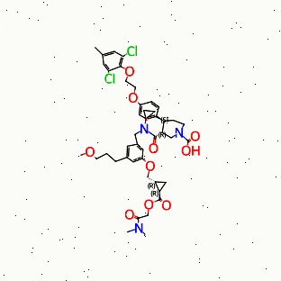 COCCCc1cc(CN(C(=O)[C@H]2CN(C(=O)O)CC[C@@H]2c2ccc(OCCOc3c(Cl)cc(C)cc3Cl)cc2)C2CC2)cc(OC[C@@H]2C[C@H]2C(=O)OCC(=O)N(C)C)c1